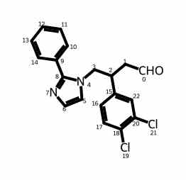 O=CCC(Cn1ccnc1-c1ccccc1)c1ccc(Cl)c(Cl)c1